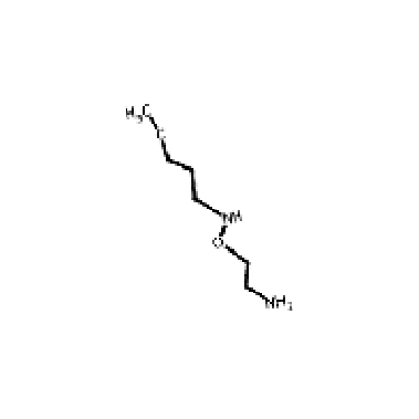 CCCCCNOCCN